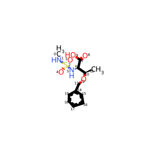 CNS(=O)(=O)N[C@H](C(=O)O)[C@@H](C)OCc1ccccc1